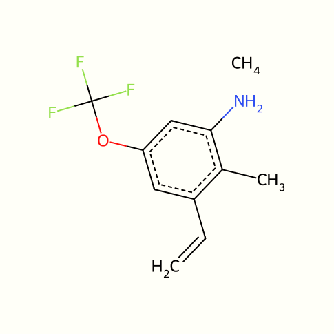 C.C=Cc1cc(OC(F)(F)F)cc(N)c1C